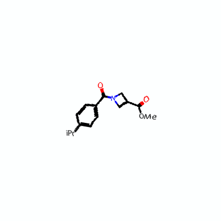 COC(=O)C1CN(C(=O)c2ccc(C(C)C)cc2)C1